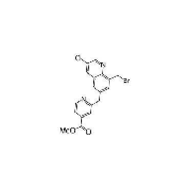 COC(=O)c1ccnc(Cc2cc(CBr)c3ncc(Cl)cc3c2)c1